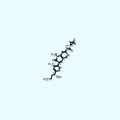 CCC[C@@H](O)c1cc(C)c(-c2cc3cnc(NC(=O)[C@H]4CC4(F)F)cc3n(C)c2=O)cn1